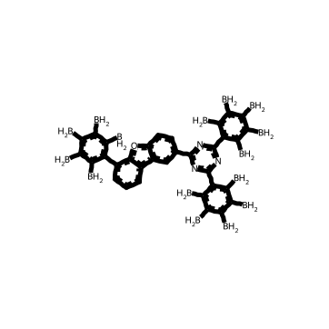 Bc1c(B)c(B)c(-c2nc(-c3ccc4oc5c(-c6c(B)c(B)c(B)c(B)c6B)cccc5c4c3)nc(-c3c(B)c(B)c(B)c(B)c3B)n2)c(B)c1B